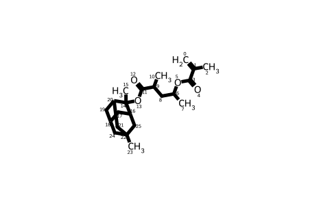 C=C(C)C(=O)OC(C)CC(C)C(=O)OC1(C)C2CC3CC1CC(C)(C3)C2